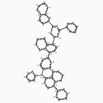 c1ccc(-c2nc(-c3ccc4ccccc4c3)nc(-c3ccc(-c4ccc5c(c4)-c4cccc6c(-c7ccccc7)ccc(c46)N5c4ccccc4)c4ccccc34)n2)cc1